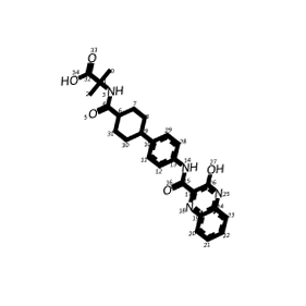 CC(C)(NC(=O)C1CCC(c2ccc(NC(=O)c3nc4ccccc4nc3O)cc2)CC1)C(=O)O